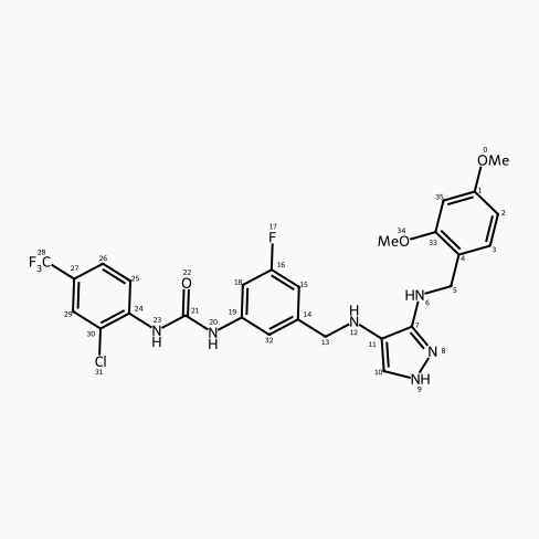 COc1ccc(CNc2n[nH]cc2NCc2cc(F)cc(NC(=O)Nc3ccc(C(F)(F)F)cc3Cl)c2)c(OC)c1